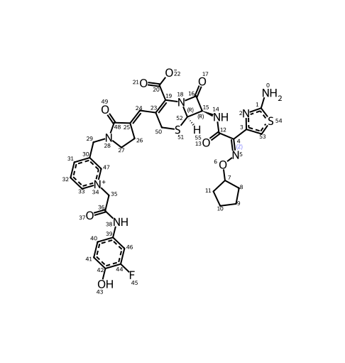 Nc1nc(/C(=N/OC2CCCC2)C(=O)N[C@@H]2C(=O)N3C(C(=O)[O-])=C(C=C4CCN(Cc5ccc[n+](CC(=O)Nc6ccc(O)c(F)c6)c5)C4=O)CS[C@H]23)cs1